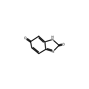 O=C1[C]=C2NC(=O)N=C2C=C1